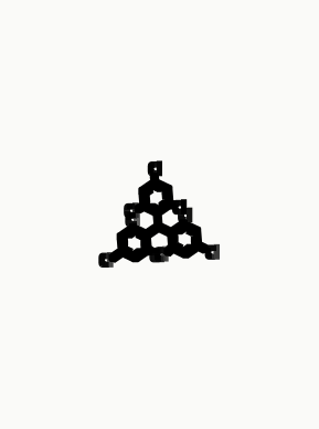 Clc1cc(Cl)c([C](c2c(Cl)cc(Cl)cc2Cl)c2c(Cl)cc(Cl)cc2Cl)c(Cl)c1